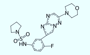 O=S(=O)(Nc1ccc(F)c(-c2cn3nc(N4CCOCC4)cnc3n2)c1)N1CCCC1